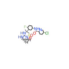 [2H]C([2H])([2H])N1C(=N)N[C@](C)(c2cc(NC(=O)c3ccc(Cl)cn3)ccc2F)CS1(=O)=O